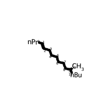 [CH2]CC/C=C/CCCCCCC(C)CCC[CH2]